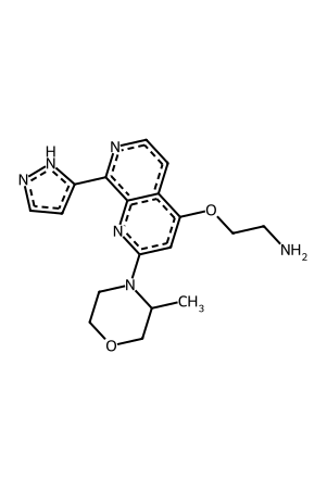 CC1COCCN1c1cc(OCCN)c2ccnc(-c3ccn[nH]3)c2n1